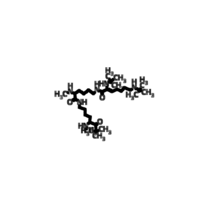 CNC(CCCCNC(=O)C(=CCCCCNC(C)(C)C)NC(C)(C)C)C(=O)NCCCCC(NC)C(=O)C(C)(C)C